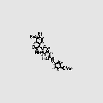 CCc1ccc(C(C(N)=O)N2CCN(CC(O)COc3ccc(OC)cc3)CC2)cc1Br